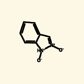 [O-][N+]1=Cc2ccccc2[NH+]1[O-]